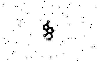 O=C1CCc2c1ccc(CO)c2Cl